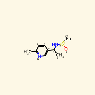 Cc1ccc([C@H](C)N[S+]([O-])C(C)(C)C)cn1